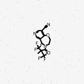 CC(C(=O)N1CCOc2c(C#N)cncc2C1)(C(F)(F)F)C(F)(F)F